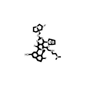 C#Cc1c(F)ccc2cc(O)cc(-c3nc(C(=O)CNCCN(C)C)c4c(N5CC6CCC(C5)N6)nc(OC[C@@]56CCCN5C[C@H](F)C6)nc4c3F)c12